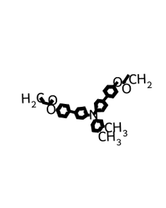 C=CC(=O)Oc1ccc(-c2ccc(N(c3ccc(-c4ccc(OC(=O)C=C)cc4)cc3)c3ccc(C)c(C)c3)cc2)cc1